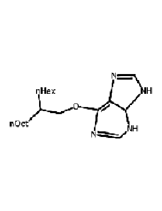 CCCCCCCCC(CCCCCC)COC1=C2N=CNC2NC=N1